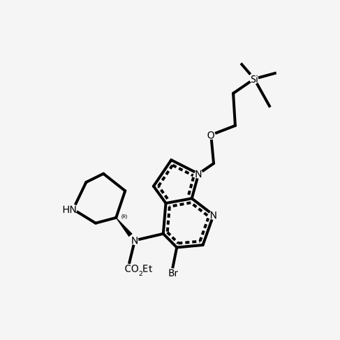 CCOC(=O)N(c1c(Br)cnc2c1ccn2COCC[Si](C)(C)C)[C@@H]1CCCNC1